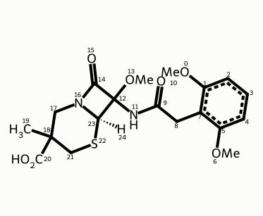 COc1cccc(OC)c1CC(=O)NC1(OC)C(=O)N2CC(C)(C(=O)O)CS[C@@H]21